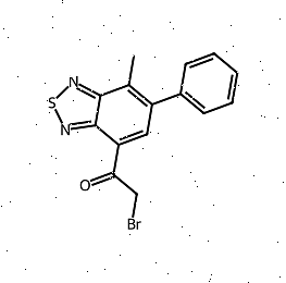 Cc1c(-c2ccccc2)cc(C(=O)CBr)c2nsnc12